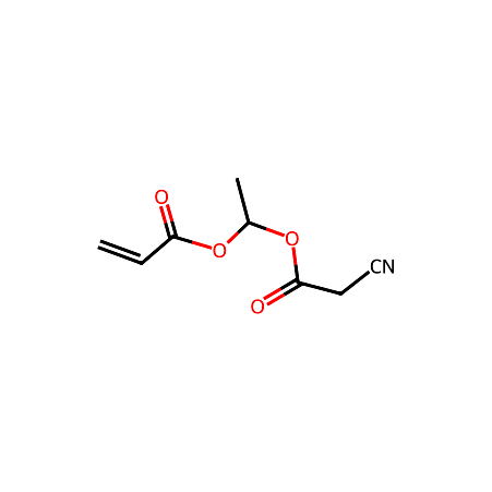 C=CC(=O)OC(C)OC(=O)CC#N